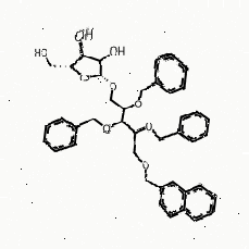 OC[C@H]1O[C@@H](OCC(OCc2ccccc2)C(OCc2ccccc2)C(COCc2ccc3ccccc3c2)OCc2ccccc2)C(O)C1O